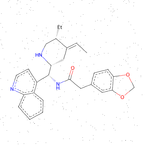 C/C=C1\C[C@H]([C@H](NC(=O)Cc2ccc3c(c2)OCO3)c2ccnc3ccccc23)NC[C@@H]1CC